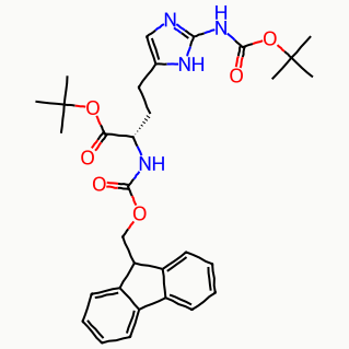 CC(C)(C)OC(=O)Nc1ncc(CC[C@H](NC(=O)OCC2c3ccccc3-c3ccccc32)C(=O)OC(C)(C)C)[nH]1